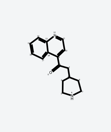 O=C(CC1CCNCC1)c1ccnc2ccccc12